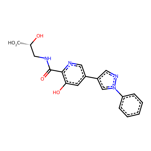 O=C(NC[C@@H](O)C(=O)O)c1ncc(-c2cnn(-c3ccccc3)c2)cc1O